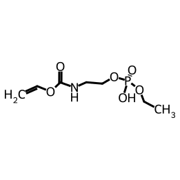 C=COC(=O)NCCOP(=O)(O)OCC